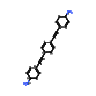 Nc1ccc(C#Cc2ccc(C#Cc3ccc(N)cc3)cc2)cc1